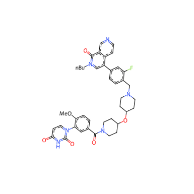 CCCCn1cc(-c2ccc(CN3CCC(OC4CCN(C(=O)c5ccc(OC)c(-n6ccc(=O)[nH]c6=O)c5)CC4)CC3)c(F)c2)c2ccncc2c1=O